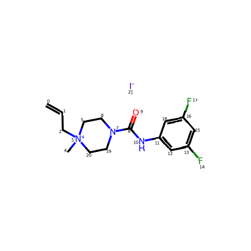 C=CC[N+]1(C)CCN(C(=O)Nc2cc(F)cc(F)c2)CC1.[I-]